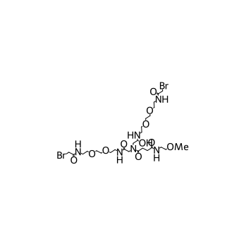 COCCNC(=O)CCC(=O)N(CC(=O)NCCOCCOCCNC(=O)CBr)CC(O)NCCOCCOCCNC(=O)CBr